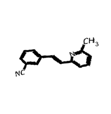 Cc1cccc(C=Cc2cccc(C#N)c2)n1